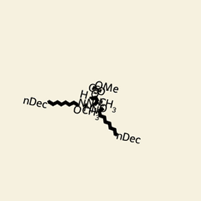 CCCCCCCCCCCCCCCCCC(=O)Nc1n(C)cc[n+]1C(C)NC(=O)CCCCCCCCCCCCCCCCC.COS(=O)(=O)[O-]